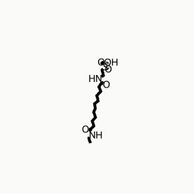 CCNC(=O)CCCCCCCCCCC(=O)NCCS(=O)(=O)O